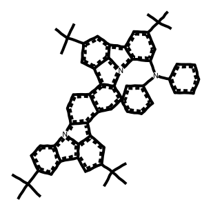 CC(C)(C)c1ccc2c(c1)c1cc(C(C)(C)C)cc3c4c5ccc6c(c5ccc4n2c13)c1cc(C(C)(C)C)cc2c3cc(C(C)(C)C)cc(N(c4ccccc4)c4ccccc4)c3n6c21